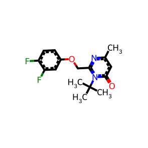 Cc1cc(=O)n(C(C)(C)C)c(COc2ccc(F)c(F)c2)n1